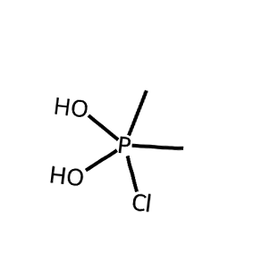 CP(C)(O)(O)Cl